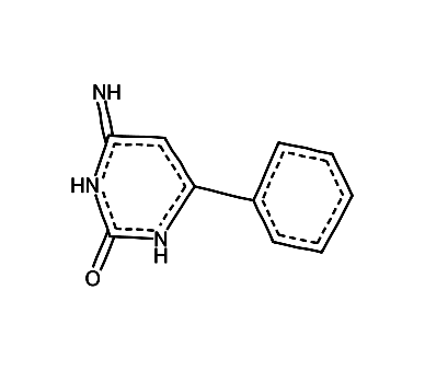 N=c1cc(-c2ccccc2)[nH]c(=O)[nH]1